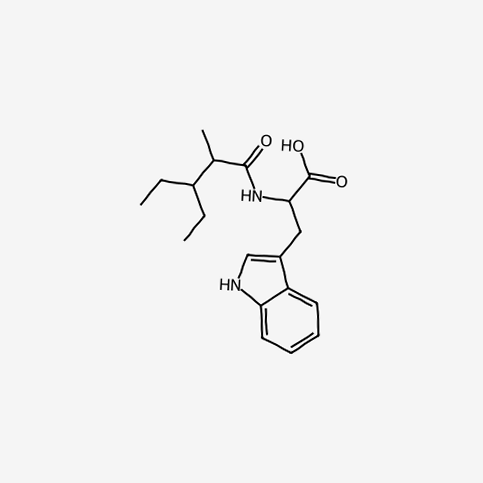 CCC(CC)C(C)C(=O)NC(Cc1c[nH]c2ccccc12)C(=O)O